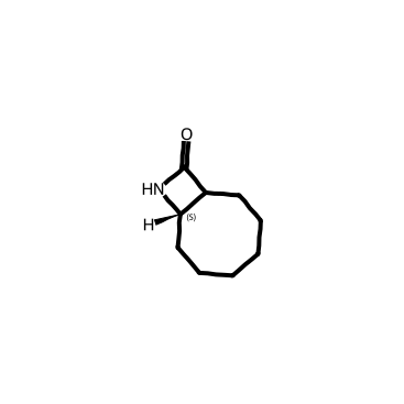 O=C1N[C@H]2CCCCCCC12